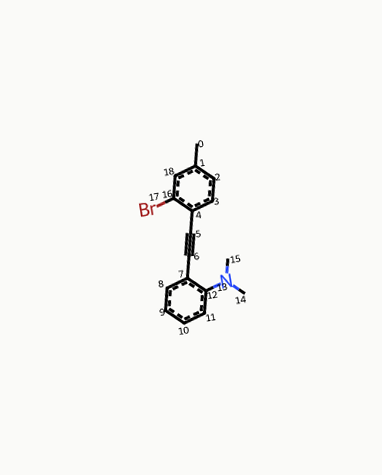 Cc1ccc(C#Cc2ccccc2N(C)C)c(Br)c1